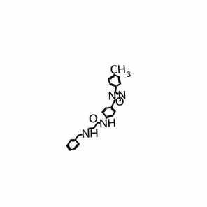 Cc1ccc(-c2noc(-c3ccc(NC(=O)CCNCc4ccccc4)cc3)n2)cc1